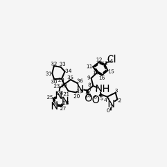 CN1CCC1C(=O)NC(Cc1ccc(Cl)cc1)C(=O)N1CCC(Cn2cncn2)(C2CCCCC2)CC1